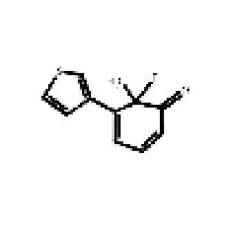 CC1(F)C(=O)C=CC=C1c1ccsc1